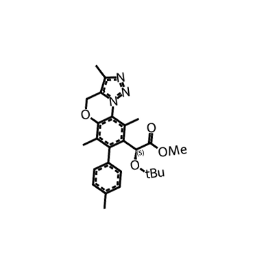 COC(=O)[C@@H](OC(C)(C)C)c1c(C)c2c(c(C)c1-c1ccc(C)cc1)OCc1c(C)nnn1-2